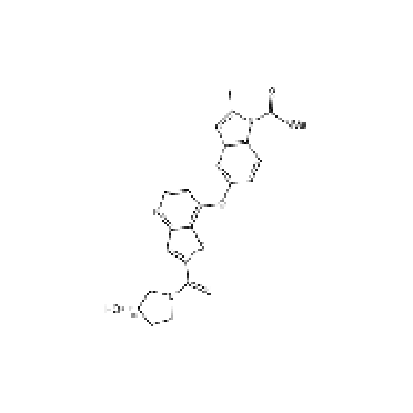 CNC(=O)n1c(C)cc2cc(Oc3ccnc4cc(C(=O)N5CC[C@H](O)C5)sc34)ccc21